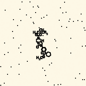 COC(=O)C1(c2ccc(N3C[C@@H]4CN(C(=O)OC(C)(C)C)CCN4C3=O)cc2)CCCCC1